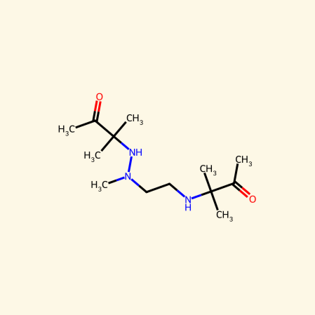 CC(=O)C(C)(C)NCCN(C)NC(C)(C)C(C)=O